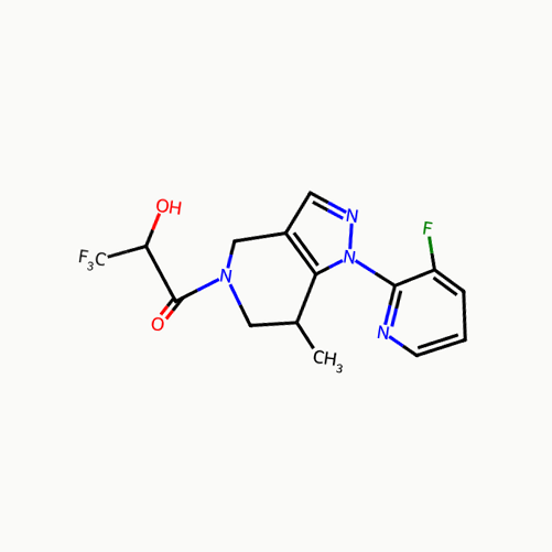 CC1CN(C(=O)C(O)C(F)(F)F)Cc2cnn(-c3ncccc3F)c21